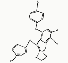 Fc1cc(Sc2ccc(Cl)cc2)c2c(Sc3ccc(Cl)cc3)c3n(c2c1F)CC[C]3